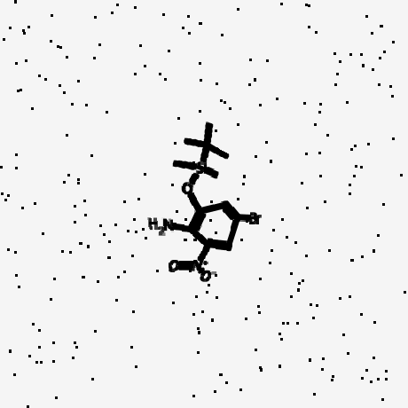 CC(C)(C)[Si](C)(C)Oc1cc(Br)cc([N+](=O)[O-])c1N